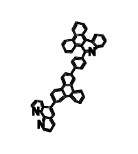 c1cnc2c(c1)cc(-c1ccc3c4ccc(-c5ccc(-c6nc7ccccc7c7c8ccccc8c8ccccc8c67)cc5)cc4c4ccccc4c3c1)c1cccnc12